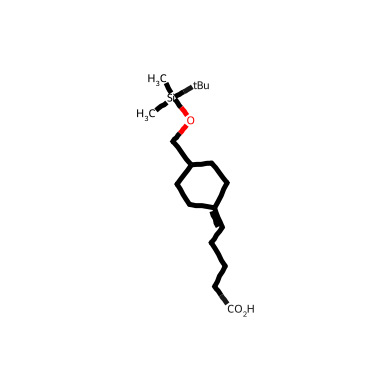 CC(C)(C)[Si](C)(C)OCC1CCC(=CCCCC(=O)O)CC1